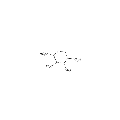 CC1C(C(=O)O)CCC(C(=O)O)C1C(=O)O